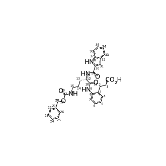 O=C(O)CCc1ccccc1NC(=O)[C@H](CCCNC(=O)OCc1ccccc1)NC(=O)c1cc2ccccc2[nH]1